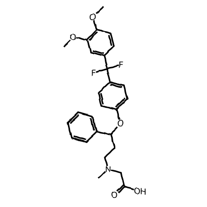 COc1ccc(C(F)(F)c2ccc(OC(CCN(C)CC(=O)O)c3ccccc3)cc2)cc1OC